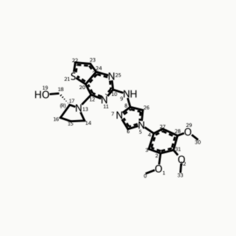 COc1cc(-n2cnc(Nc3nc(N4CCC[C@@H]4CO)c4sccc4n3)c2)cc(OC)c1OC